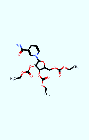 CCOC(=O)OCC1OC(N2C=CCC(C(N)=O)=C2)[C@H](OC(=O)OCC)C1OC(=O)OCC